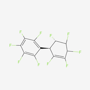 FC1=C(F)[C@@H](c2c(F)c(F)c(F)c(F)c2F)[C@H](F)C(F)C1F